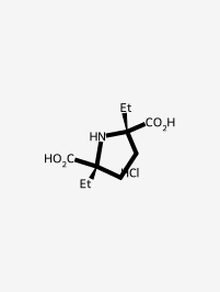 CC[C@]1(C(=O)O)CC[C@@](CC)(C(=O)O)N1.Cl